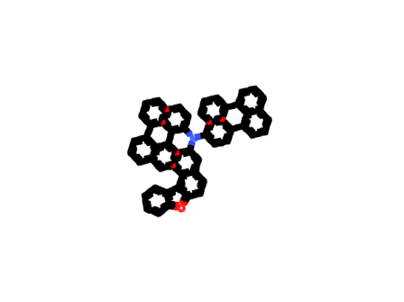 c1ccc(-c2cccc3cccc(-c4ccc(N(c5ccc6c(ccc7oc8ccccc8c76)c5)c5ccccc5-c5cccc6cccc(-c7ccccc7)c56)cc4)c23)cc1